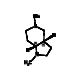 CN1CC[C@H]2CN(C(C)(C)C)CC[C@H]21